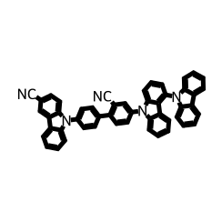 N#Cc1ccc2c(c1)c1ccccc1n2-c1ccc(-c2ccc(-n3c4ccccc4c4c(-n5c6ccccc6c6ccccc65)cccc43)cc2C#N)cc1